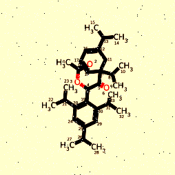 CC(=O)OC(C(=O)C1(C(C)C)[CH]C(C(C)C)=CC=C1)c1c(C(C)C)cc(C(C)C)cc1C(C)C